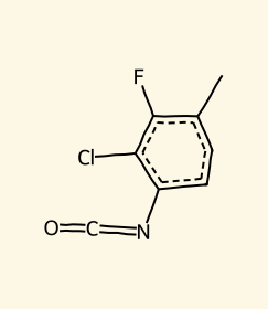 Cc1ccc(N=C=O)c(Cl)c1F